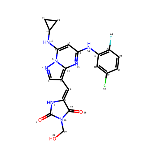 O=C1N/C(=C\c2cnn3c(NC4CC4)cc(Nc4cc(Cl)ccc4F)nc23)C(=O)N1CO